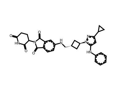 O=C1CCC(N2C(=O)c3ccc(NC[C@H]4C[C@H](n5nc(C6CC6)cc5Nc5ccccc5)C4)cc3C2=O)C(=O)N1